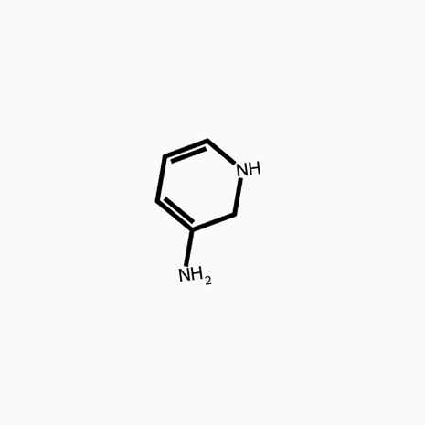 NC1=CC=CNC1